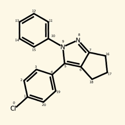 Clc1ccc(-c2c3c(nn2-c2ccccc2)CCC3)cc1